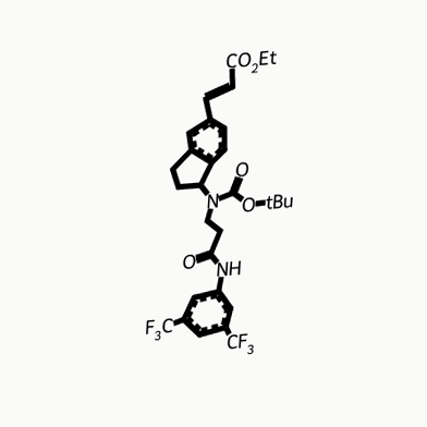 CCOC(=O)/C=C/c1ccc2c(c1)CCC2N(CCC(=O)Nc1cc(C(F)(F)F)cc(C(F)(F)F)c1)C(=O)OC(C)(C)C